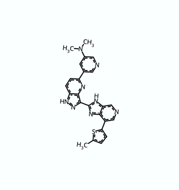 Cc1ccc(-c2cncc3[nH]c(-c4n[nH]c5ccc(-c6cncc(N(C)C)c6)nc45)nc23)s1